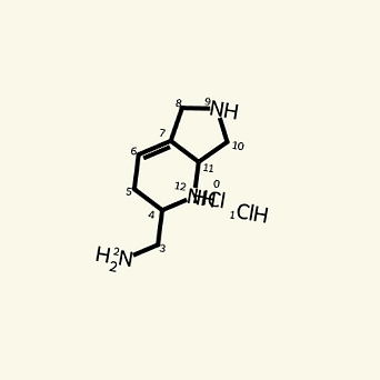 Cl.Cl.NCC1CC=C2CNCC2N1